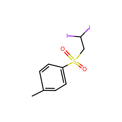 Cc1ccc(S(=O)(=O)CC(I)I)cc1